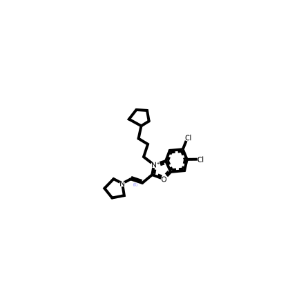 Clc1cc2oc(/C=C/N3CCCC3)[n+](CCCC3CCCC3)c2cc1Cl